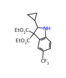 CCOC(=O)C1(C(=O)OCC)c2cc(C(F)(F)F)ccc2NC1C1CC1